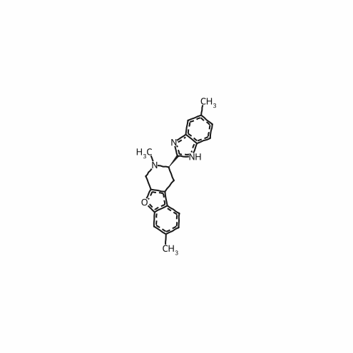 Cc1ccc2[nH]c([C@H]3Cc4c(oc5cc(C)ccc45)CN3C)nc2c1